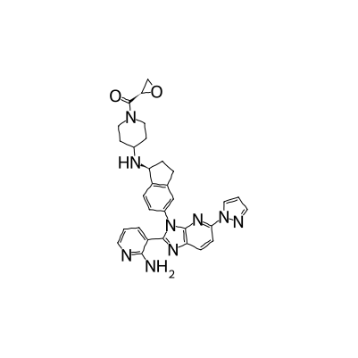 Nc1ncccc1-c1nc2ccc(-n3cccn3)nc2n1-c1ccc2c(c1)CC[C@@H]2NC1CCN(C(=O)[C@H]2CO2)CC1